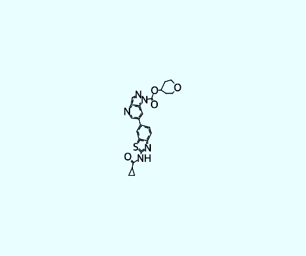 O=C(Nc1nc2ccc(-c3cnc4cnn(C(=O)OC5CCOCC5)c4c3)cc2s1)C1CC1